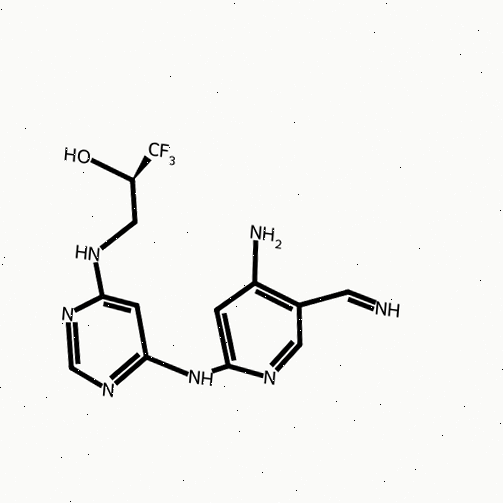 N=Cc1cnc(Nc2cc(NC[C@@H](O)C(F)(F)F)ncn2)cc1N